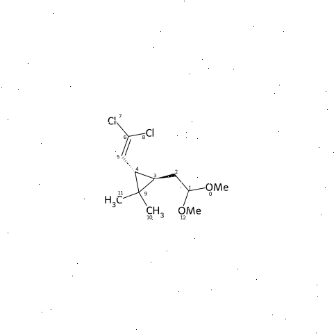 COC(C[C@@H]1[C@@H](C=C(Cl)Cl)C1(C)C)OC